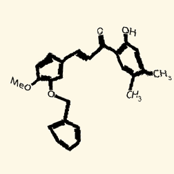 COc1ccc(C=CC(=O)c2cc(C)c(C)cc2O)cc1OCc1ccccc1